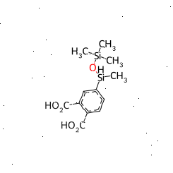 C[SiH](O[Si](C)(C)C)c1ccc(C(=O)O)c(C(=O)O)c1